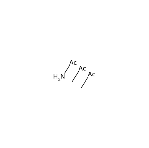 CC(C)=O.CC(C)=O.CC(N)=O